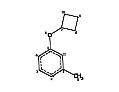 Cc1[c]ccc(OC2CCC2)c1